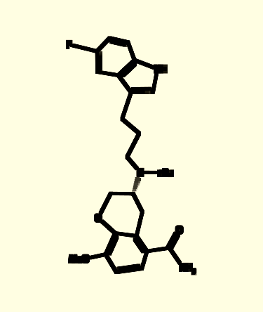 CCCCN(CCCc1c[nH]c2ccc(F)cc12)[C@H]1COc2c(OC)ccc(C(N)=O)c2C1